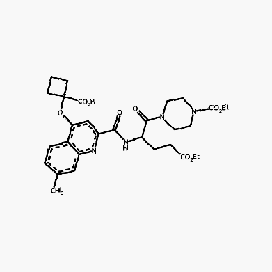 CCOC(=O)CCC(NC(=O)c1cc(OC2(C(=O)O)CCC2)c2ccc(C)cc2n1)C(=O)N1CCN(C(=O)OCC)CC1